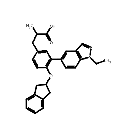 CCn1ncc2cc(-c3cc(CC(C)C(=O)O)ccc3OC3Cc4ccccc4C3)ccc21